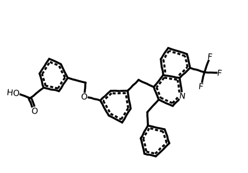 O=C(O)c1cccc(COc2cccc(Cc3c(Cc4ccccc4)cnc4c(C(F)(F)F)cccc34)c2)c1